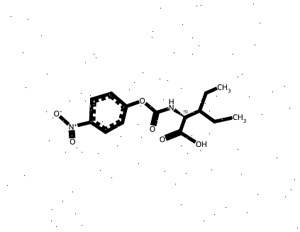 CCC(CC)[C@H](NC(=O)Oc1ccc([N+](=O)[O-])cc1)C(=O)O